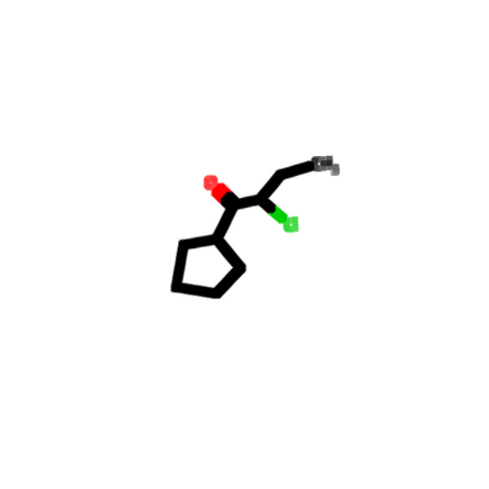 CCC(Cl)C(=O)C1CCCC1